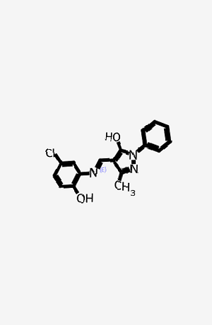 Cc1nn(-c2ccccc2)c(O)c1/C=N/c1cc(Cl)ccc1O